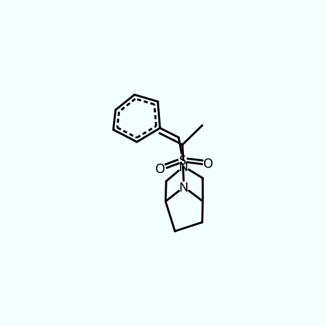 CC(C)N1CC2CCC(C1)N2S(=O)(=O)Cc1ccccc1